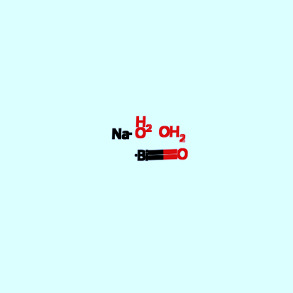 O.O.[Na].[O]=[Bi]